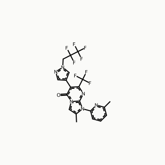 Cc1cccc(-n2c(C)cn3c(=O)c(-c4cnn(CC(F)(F)C(F)(F)F)c4)c(C(F)(F)F)nc23)n1